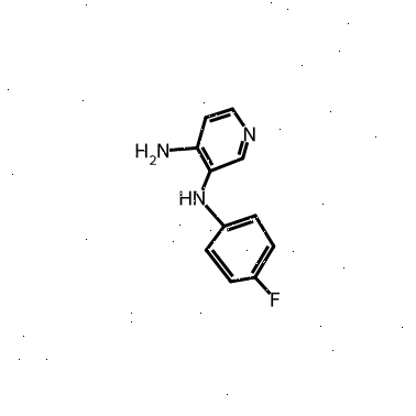 Nc1ccncc1Nc1ccc(F)cc1